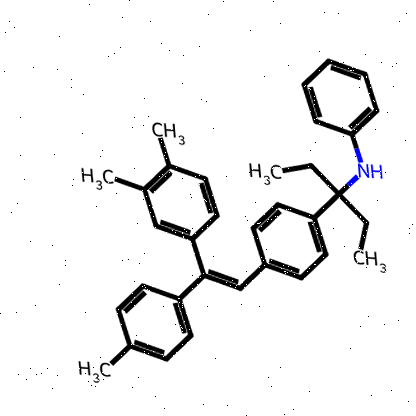 CCC(CC)(Nc1ccccc1)c1ccc(C=C(c2ccc(C)cc2)c2ccc(C)c(C)c2)cc1